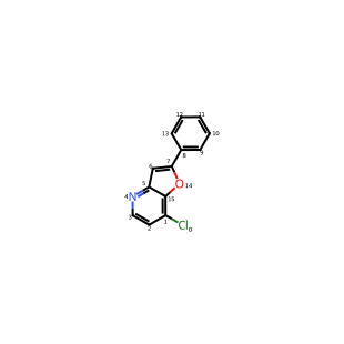 Clc1ccnc2cc(-c3ccccc3)oc12